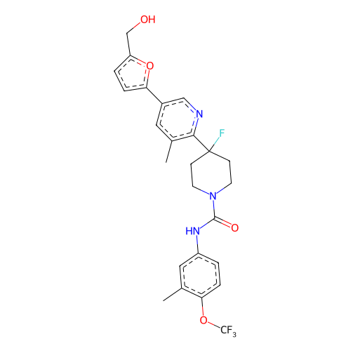 Cc1cc(NC(=O)N2CCC(F)(c3ncc(-c4ccc(CO)o4)cc3C)CC2)ccc1OC(F)(F)F